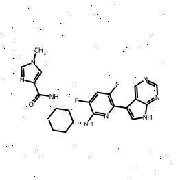 Cn1cnc(C(=O)N[C@H]2CCC[C@@H](Nc3nc(-c4c[nH]c5ncncc45)c(F)cc3F)C2)c1